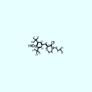 CC(C)CCN1CCSC(=Cc2cc(C(C)(C)C)c(O)c(C(C)(C)C)c2)C1=O